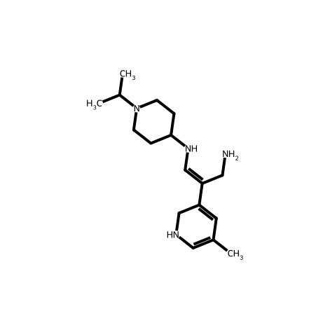 CC1=CNCC(/C(=C/NC2CCN(C(C)C)CC2)CN)=C1